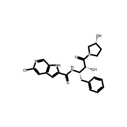 O=C(N[C@@H](Cc1ccccc1)[C@@H](O)C(=O)N1CC[C@@H](O)C1)c1cc2cc(Cl)ncc2[nH]1